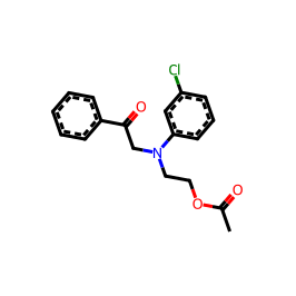 CC(=O)OCCN(CC(=O)c1ccccc1)c1cccc(Cl)c1